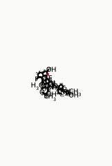 C#Cc1c(F)ccc2cc(O)cc(-c3nc(OC)c4c(N5CCOC[C@@](C)(O)C5)nc(OC[C@]56CCC[C@H]5N(C5CC(C)(O)C5)CCC6)nc4c3F)c12